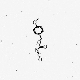 COc1ccc(COC(=O)N=C=O)cc1